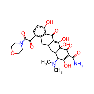 CN(C)C1C(O)=C(C(N)=O)C(=O)C2(O)C(O)=C3C(=O)c4c(O)ccc(C(=O)C(=O)N5CCOCC5)c4CC3CC12